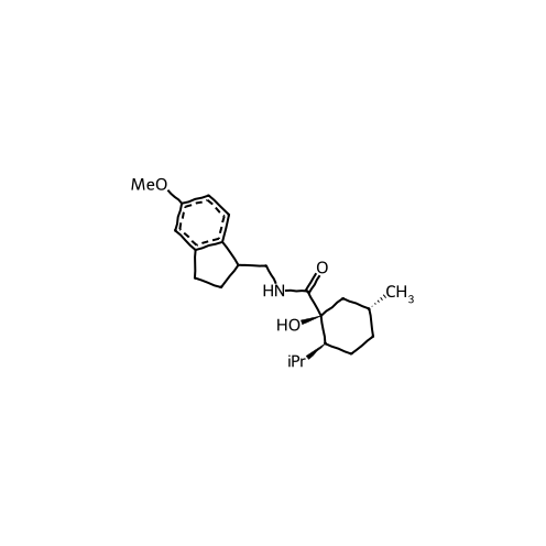 COc1ccc2c(c1)CCC2CNC(=O)[C@]1(O)C[C@H](C)CC[C@H]1C(C)C